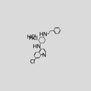 Cl.Cl.Clc1ccc2c(N[C@H]3CC[C@@H](NCCc4ccccc4)CC3)ccnc2c1